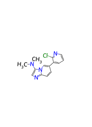 CN(C)c1cnc2ccc(-c3cccnc3Cl)cn12